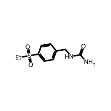 CCS(=O)(=O)c1ccc(CNC(N)=O)cc1